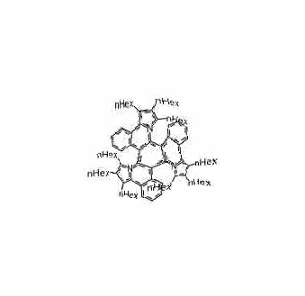 CCCCCCc1c(CCCCCC)c2c3ccccc3c3c(c4c5ccccc5c5c(CCCCCC)c(CCCCCC)c(CCCCCC)n5c4c4c5ccccc5c5c(CCCCCC)c(CCCCCC)c(CCCCCC)n5c34)n2c1CCCCCC